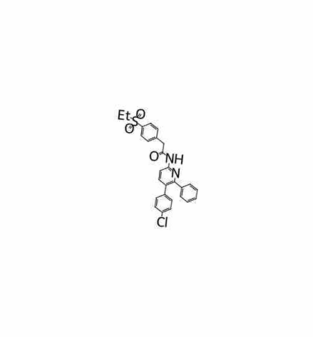 CCS(=O)(=O)c1ccc(CC(=O)Nc2ccc(-c3ccc(Cl)cc3)c(-c3ccccc3)n2)cc1